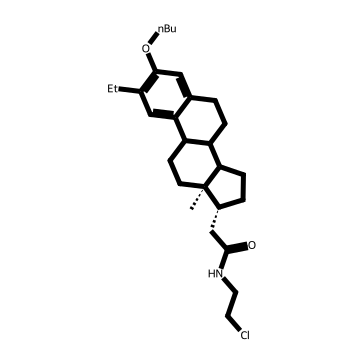 CCCCOc1cc2c(cc1CC)C1CC[C@@]3(C)C(CC[C@@H]3CC(=O)NCCCl)C1CC2